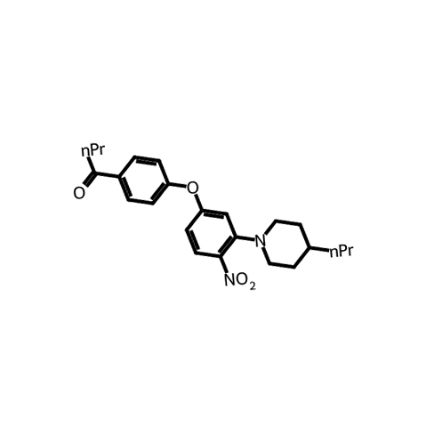 CCCC(=O)c1ccc(Oc2ccc([N+](=O)[O-])c(N3CCC(CCC)CC3)c2)cc1